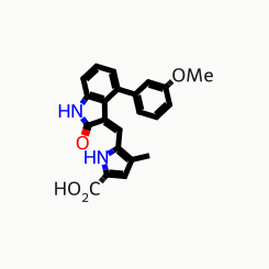 COc1cccc(-c2cccc3c2/C(=C/c2[nH]c(C(=O)O)cc2C)C(=O)N3)c1